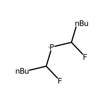 CCCCC(F)[P]C(F)CCCC